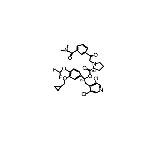 CN(C)C(=O)c1cccc(C(=O)CN2CCC[C@H]2C(=O)O[C@@H](Cc2c(Cl)cncc2Cl)c2ccc(OC(F)F)c(OCC3CC3)c2)c1